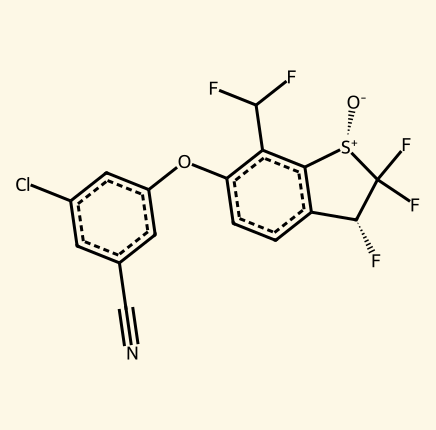 N#Cc1cc(Cl)cc(Oc2ccc3c(c2C(F)F)[S@+]([O-])C(F)(F)[C@@H]3F)c1